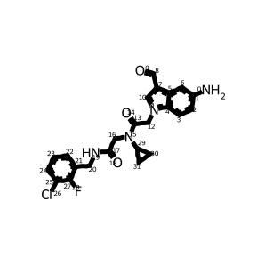 Nc1ccc2c(c1)c(C=O)cn2CC(=O)N(CC(=O)NCc1cccc(Cl)c1F)C1CC1